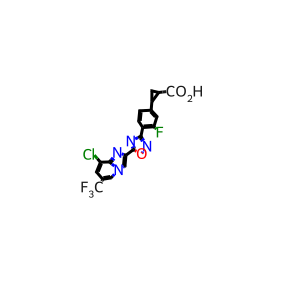 O=C(O)C1CC1c1ccc(-c2noc(-c3cn4cc(C(F)(F)F)cc(Cl)c4n3)n2)c(F)c1